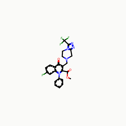 COC(=O)c1c(CN2CCn3c(nnc3C(F)(F)F)C2)c(=O)c2ccc(F)cc2n1-c1ccccc1